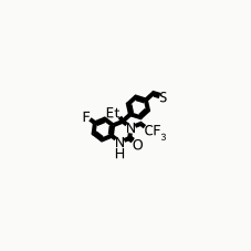 CCC1(c2ccc(C=S)cc2)c2cc(F)ccc2NC(=O)N1CC(F)(F)F